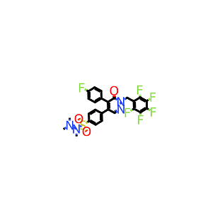 CN(C)N(C)S(=O)(=O)c1ccc(-c2cnn(Cc3c(F)c(F)c(F)c(F)c3F)c(=O)c2-c2ccc(F)cc2)cc1